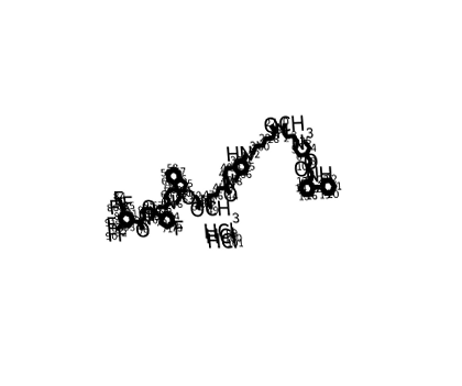 CN(CCN1CCC(OC(=O)Nc2ccccc2-c2ccccc2)CC1)C(=O)CCCCCNc1ccc2c(c1)CCN(C(=O)CCCN(C)C(=O)CO[C@H]1Cc3ccccc3C13CCN(CC[C@@]1(c4ccc(F)cc4)CN(C(=O)c4cc(C(F)(F)F)cc(C(F)(F)F)c4)CO1)CC3)C2.Cl.Cl.Cl